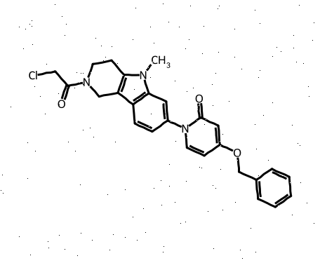 Cn1c2c(c3ccc(-n4ccc(OCc5ccccc5)cc4=O)cc31)CN(C(=O)CCl)CC2